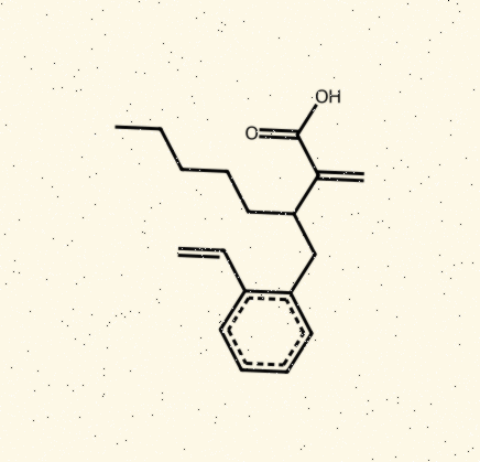 C=Cc1ccccc1CC(CCCCC)C(=C)C(=O)O